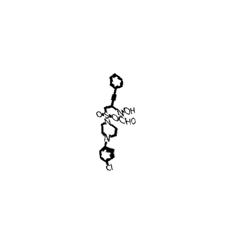 O=CN(O)C(C#Cc1ccccc1)CS(=O)(=O)N1CCN(c2ccc(Cl)cc2)CC1